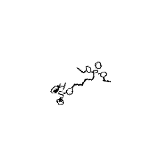 CCOP(=O)(CCCCO[SH](=O)=O)OCC